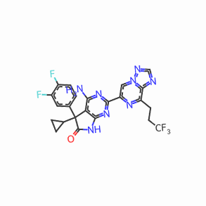 Nc1nc(-c2cn3ncnc3c(CCC(F)(F)F)n2)nc2c1C(c1ccc(F)c(F)c1)(C1CC1)C(=O)N2